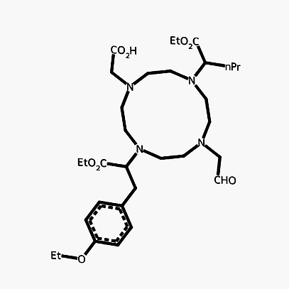 CCCC(C(=O)OCC)N1CCN(CC=O)CCN(C(Cc2ccc(OCC)cc2)C(=O)OCC)CCN(CC(=O)O)CC1